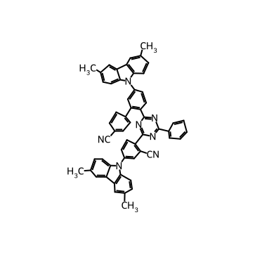 Cc1ccc2c(c1)c1cc(C)ccc1n2-c1ccc(-c2nc(-c3ccccc3)nc(-c3ccc(-n4c5ccc(C)cc5c5cc(C)ccc54)cc3-c3ccc(C#N)cc3)n2)c(C#N)c1